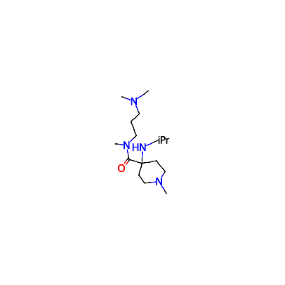 CC(C)NC1(C(=O)N(C)CCCN(C)C)CCN(C)CC1